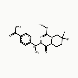 COC(=O)c1ccc([C@H](C)NC(=O)C2CCC(F)(F)CN2C(=O)OC(C)(C)C)cc1